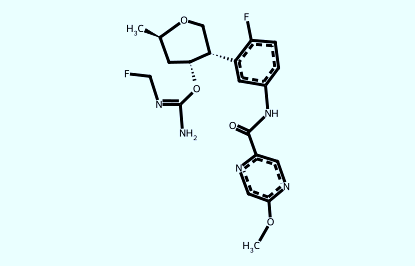 COc1cnc(C(=O)Nc2ccc(F)c([C@H]3CO[C@H](C)C[C@H]3O/C(N)=N\CF)c2)cn1